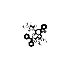 CNC(C)C(=O)NC1Cc2c([nH]c3ccccc23)C2CC(C)(C)C(C(=O)NC(c3ccccc3)c3ccccc3)N2C1=O